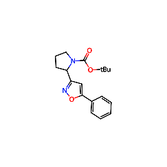 CC(C)(C)OC(=O)N1CCCC1c1cc(-c2ccccc2)on1